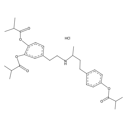 CC(CCc1ccc(OC(=O)C(C)C)cc1)NCCc1ccc(OC(=O)C(C)C)c(OC(=O)C(C)C)c1.Cl